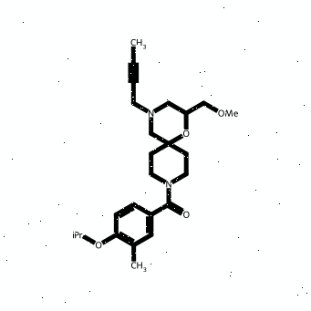 CC#CCN1CC(COC)OC2(CCN(C(=O)c3ccc(OC(C)C)c(C)c3)CC2)C1